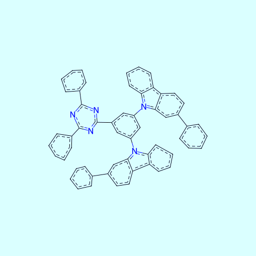 c1ccc(-c2ccc3c4ccccc4n(-c4cc(-c5nc(-c6ccccc6)nc(-c6ccccc6)n5)cc(-n5c6ccccc6c6ccc(-c7ccccc7)cc65)c4)c3c2)cc1